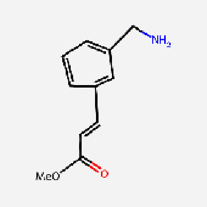 COC(=O)/C=C/c1cccc(CN)c1